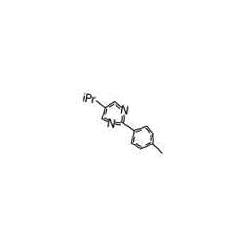 Cc1ccc(-c2ncc(C(C)C)cn2)cc1